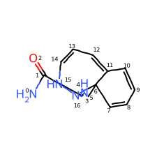 NC(=O)C1NCC23C=CC=CC2=CC=CNN13